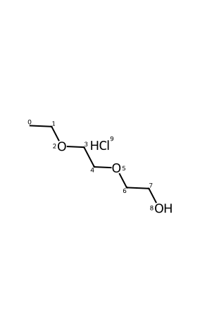 CCOCCOCCO.Cl